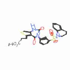 O=C(O)CCc1scc2[nH]c(=O)n(-c3cccc(S(=O)(=O)N4CCCc5ccccc54)c3)c(=O)c12